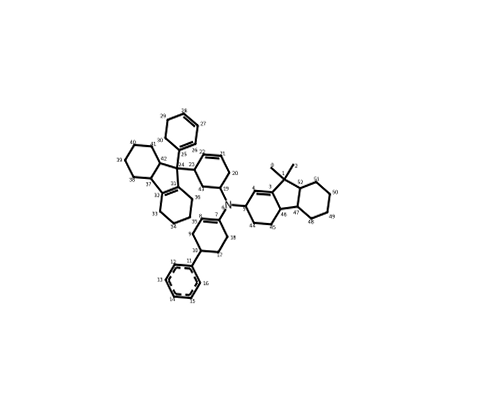 CC1(C)C2=CC(N(C3=CCC(c4ccccc4)CC3)C3CC=CC(C4(C5=CC=CCC5)C5=C(CCCC5)C5CCCCC54)C3)CCC2C2CCCCC21